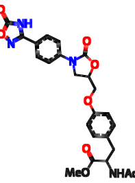 COC(=O)C(Cc1ccc(OCC2CN(c3ccc(-c4noc(=O)[nH]4)cc3)C(=O)O2)cc1)NC(C)=O